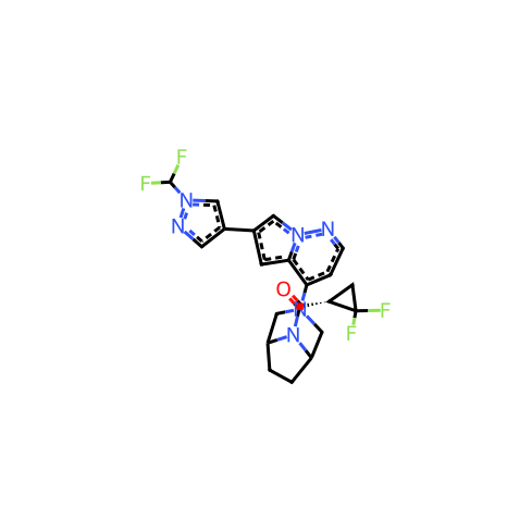 O=C([C@@H]1CC1(F)F)N1C2CCC1CN(c1ccnn3cc(-c4cnn(C(F)F)c4)cc13)C2